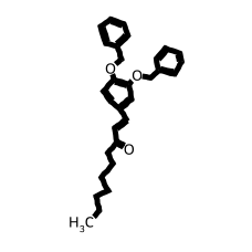 CCCCCCCC(=O)/C=C/c1ccc(OCc2ccccc2)c(OCc2ccccc2)c1